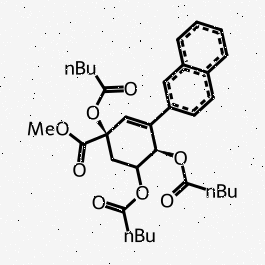 CCCCC(=O)OC1C[C@](OC(=O)CCCC)(C(=O)OC)C=C(c2ccc3ccccc3c2)[C@H]1OC(=O)CCCC